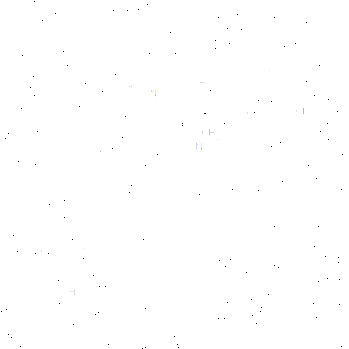 C=C(COC(C)=O)[C@@H]1C(C(C#N)(C#N)CC#CCOC(C)=O)=C[C@H]2CC[C@@H]1N2